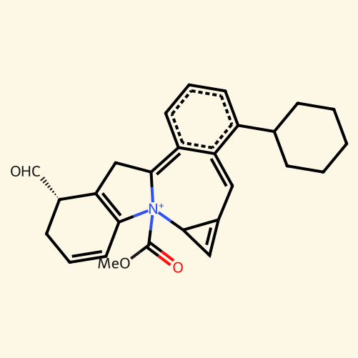 COC(=O)[N+]12C3=C(CC1=c1cccc(C4CCCCC4)c1=CC1=CC12)[C@@H](C=O)CC=C3